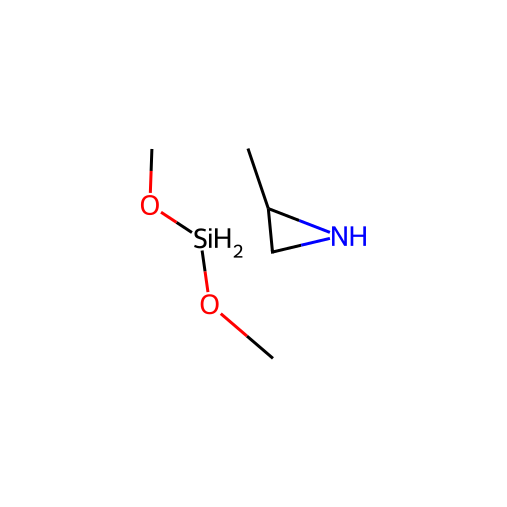 CC1CN1.CO[SiH2]OC